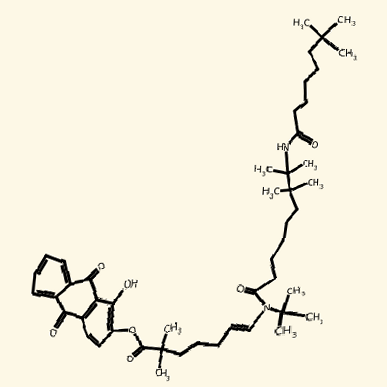 CC(C)(C)CCCCCC(=O)NC(C)(C)C(C)(C)CCCCCC(=O)N(C=CCCCC(C)(C)C(=O)Oc1ccc2c(c1O)C(=O)c1ccccc1C2=O)C(C)(C)C